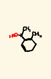 CB(O)C1=C(C)CCC=C1